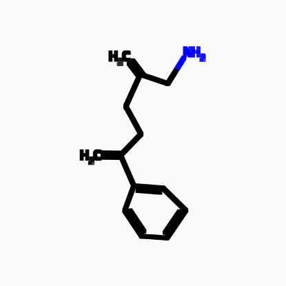 C=C(CN)CCC(=C)c1ccccc1